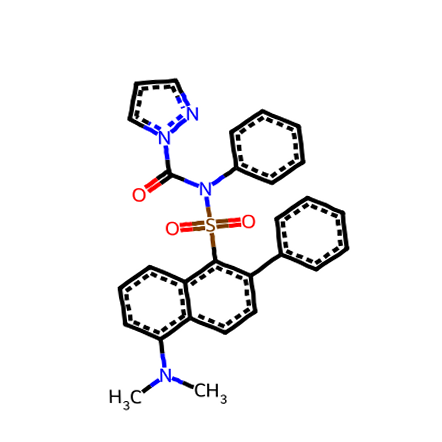 CN(C)c1cccc2c(S(=O)(=O)N(C(=O)n3cccn3)c3ccccc3)c(-c3ccccc3)ccc12